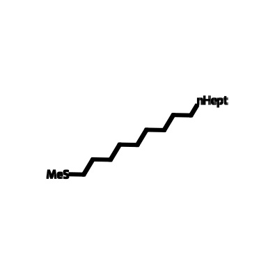 CCCCCCCCCCCCCCCCSC